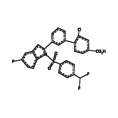 O=C(O)c1ccc(-c2cccc(-c3cc4cc(F)ccc4n3S(=O)(=O)c3ccc(C(F)F)cc3)c2)c(Cl)c1